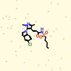 CCCCCS(=O)(=O)NC(=O)/C=C/c1c(C)nn(C)c1-n1ccc2cc(Cl)ccc21